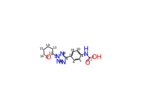 O=C(O)Nc1ccc(-c2nnn(C3CCCCO3)n2)cc1